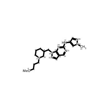 COCCCN1CCCC(Cn2ncc3cnc(Nc4cnn(C)c4)nc32)C1